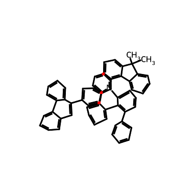 CC1(C)c2ccccc2-c2c(N(c3ccc(-c4cc5ccccc5c5ccccc45)cc3)c3cccc(-c4ccccc4)c3-c3ccccc3-c3ccccc3)cccc21